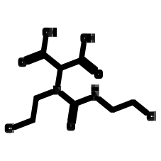 O=C(O)C(C(=O)O)N(CCCl)C(=O)NCCCl